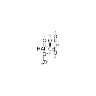 [O]=[AlH].[O]=[Ce].[O]=[Ti]=[O].[O]=[Zr]